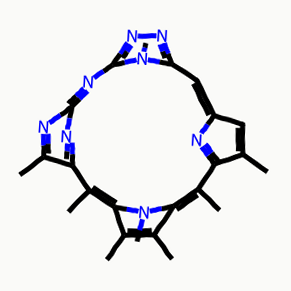 CC1=Cc2cc3nnc(nc4nc(c(C)c5c(C)c(C)c(c(C)c1n2)n5C)C(C)=N4)n3C